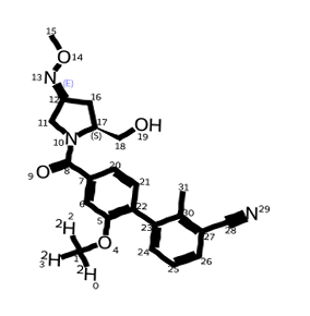 [2H]C([2H])([2H])Oc1cc(C(=O)N2C/C(=N/OC)C[C@H]2CO)ccc1-c1cccc(C#N)c1C